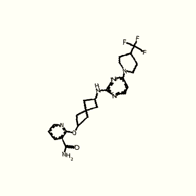 NC(=O)c1cccnc1OC1CC2(CC(Nc3nccc(N4CCC(C(F)(F)F)CC4)n3)C2)C1